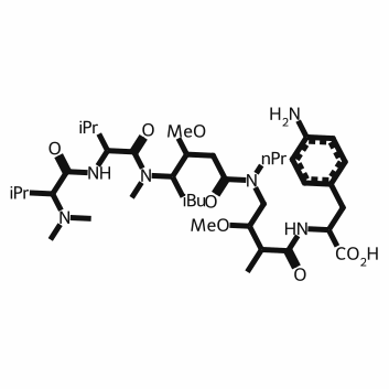 CCCN(CC(OC)C(C)C(=O)NC(Cc1ccc(N)cc1)C(=O)O)C(=O)CC(OC)C(C(C)CC)N(C)C(=O)C(NC(=O)C(C(C)C)N(C)C)C(C)C